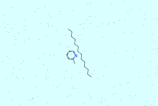 CCCCCCCCCCCCCC.Cc1ccccn1